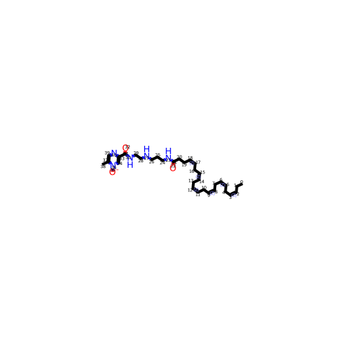 CC/C=C\C/C=C\C/C=C\C/C=C\C/C=C\C/C=C\CCC(=O)NCCCNCCNC(=O)c1c[n+]([O-])c(C)cn1